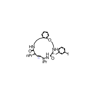 CCC[C@@H]1/C=C/[C@@H](C(C)C)NC(=O)[C@@H](Cc2cccc(I)c2)NCCOc2ccccc2CCCNC1=O